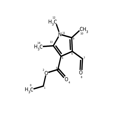 CCOC(=O)c1c(C=O)c(C)n(C)c1C